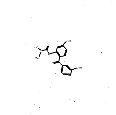 COc1cccc(C(=O)c2ccc(OC)cc2OC(=S)N(C)C)c1